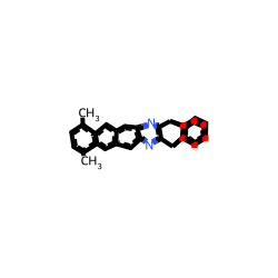 Cc1ccc(C)c2cc3cc4nc5c(nc4cc3cc12)C1c2ccccc2C5c2ccccc21